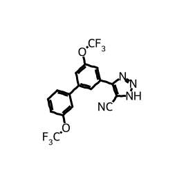 N#Cc1[nH]nnc1-c1cc(OC(F)(F)F)cc(-c2cccc(OC(F)(F)F)c2)c1